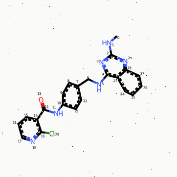 CNc1nc(NCc2ccc(NC(=O)c3cccnc3Cl)cc2)c2ccccc2n1